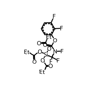 CCC(=O)O[Si](OC(=O)CC)(OC(=O)CC)C(F)(F)N(F)C(=O)Oc1cccc(F)c1F